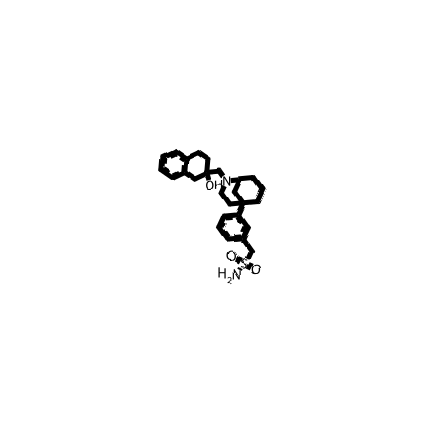 NS(=O)(=O)Cc1cccc(C23CCCC(C2)N(CC2(O)CCc4ccccc4C2)CC3)c1